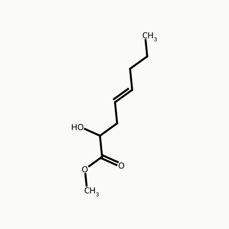 CCCC=CCC(O)C(=O)OC